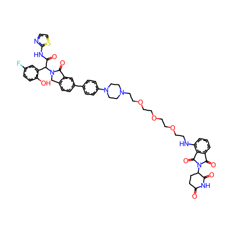 O=C1CCC(N2C(=O)c3cccc(NCCOCCOCCOCCN4CCN(c5ccc(-c6ccc7c(c6)C(=O)N(C(C(=O)Nc6nccs6)c6cc(F)ccc6O)C7)cc5)CC4)c3C2=O)C(=O)N1